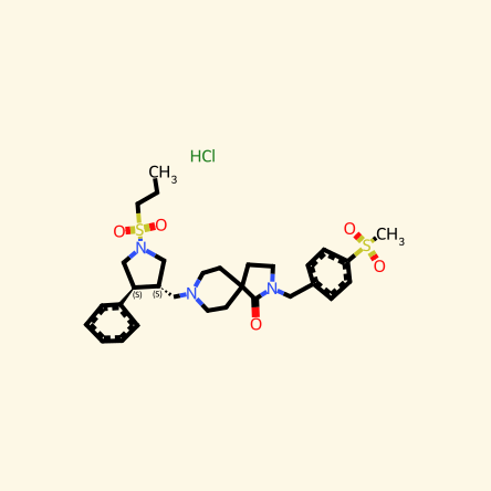 CCCS(=O)(=O)N1C[C@H](CN2CCC3(CC2)CCN(Cc2ccc(S(C)(=O)=O)cc2)C3=O)[C@@H](c2ccccc2)C1.Cl